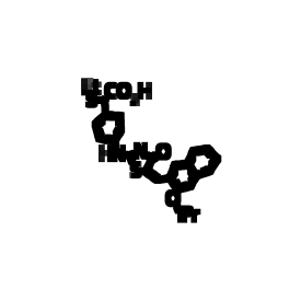 CCSC(C(=O)O)c1ccc(NC2=NC(=O)C(=Cc3cc4ccccc4cc3OC(C)C)S2)cc1